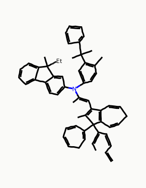 C=C/C=C\C(=C/C)C1(C2=CCC=CC=C2)C(C)=C(/C=C(\C)N(c2ccc(C)c(C(C)(C)c3ccccc3)c2)c2ccc3c(c2)C(C)(CC)c2ccccc2-3)C2=C1C=CCC=C2